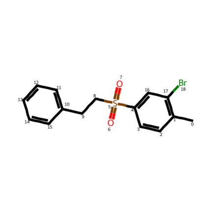 Cc1ccc(S(=O)(=O)CCc2ccccc2)cc1Br